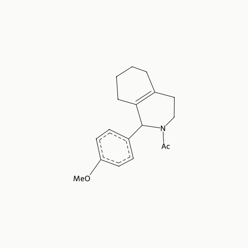 COc1ccc(C2C3=C(CCCC3)CCN2C(C)=O)cc1